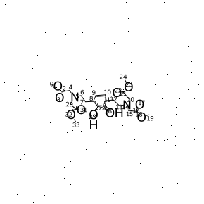 COC(=O)CN(CCc1ccc(CCN(CC(=O)OC)CC(=O)OC)c(O)c1O)CC(=O)OC